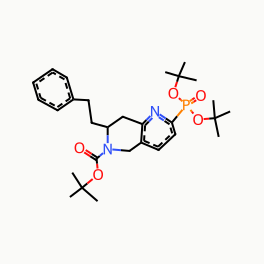 CC(C)(C)OC(=O)N1Cc2ccc(P(=O)(OC(C)(C)C)OC(C)(C)C)nc2CC1CCc1ccccc1